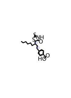 CCCCCCC(/C=C/c1ccc(C(=O)O)cc1)=C1\SC(=S)NC1=O